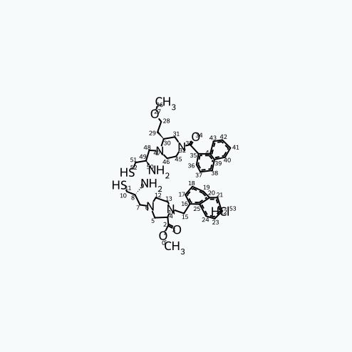 COC(=O)C1CN(C[C@@H](N)CS)CCN1Cc1cccc2ccccc12.COCC[C@H]1CN(C(=O)c2cccc3ccccc23)CCN1C[C@@H](N)CS.Cl